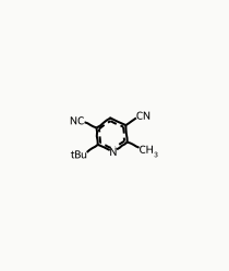 Cc1nc(C(C)(C)C)c(C#N)cc1C#N